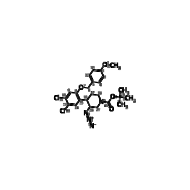 COc1ccc(COc2cc(Cl)c(Cl)cc2C2CCN(C(=O)OC(C)(C)C)CC2N=[N+]=[N-])cc1